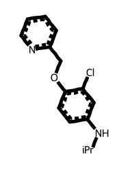 CC(C)Nc1ccc(OCc2ccccn2)c(Cl)c1